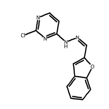 Clc1nccc(N/N=C\c2cc3ccccc3o2)n1